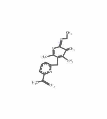 C=C1C(N)=C(Cc2cccc(C(=C)C)n2)C(C)=N/C1=N/CC